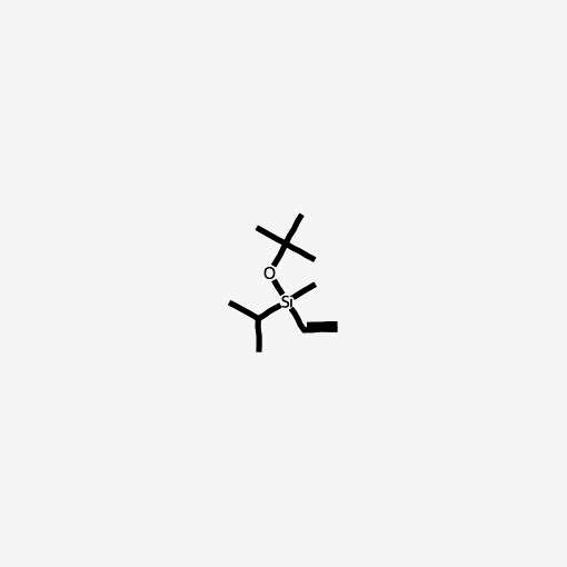 C=C[Si](C)(OC(C)(C)C)C(C)C